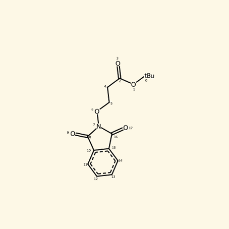 CC(C)(C)OC(=O)CCON1C(=O)c2ccccc2C1=O